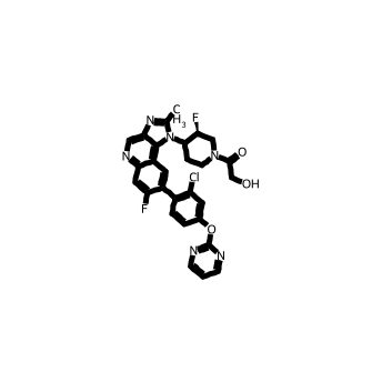 Cc1nc2cnc3cc(F)c(-c4ccc(Oc5ncccn5)cc4Cl)cc3c2n1C1CCN(C(=O)CO)C[C@@H]1F